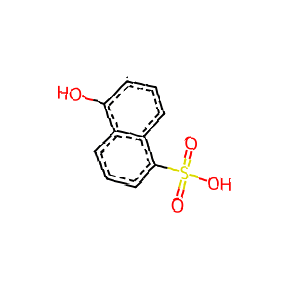 O=S(=O)(O)c1cccc2c(O)[c]ccc12